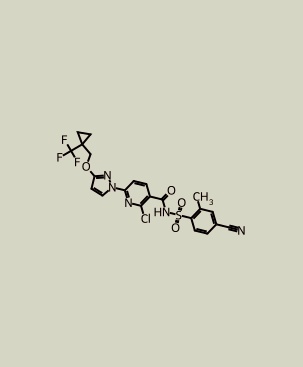 Cc1cc(C#N)ccc1S(=O)(=O)NC(=O)c1ccc(-n2ccc(OCC3(C(F)(F)F)CC3)n2)nc1Cl